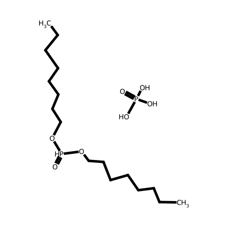 CCCCCCCCO[PH](=O)OCCCCCCCC.O=P(O)(O)O